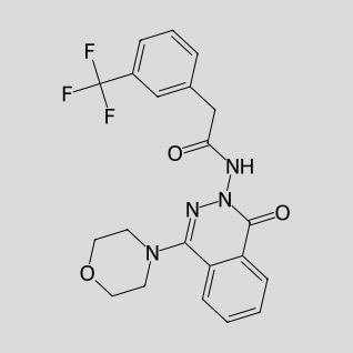 O=C(Cc1cccc(C(F)(F)F)c1)Nn1nc(N2CCOCC2)c2ccccc2c1=O